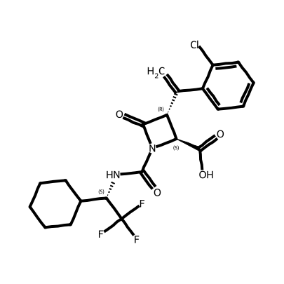 C=C(c1ccccc1Cl)[C@H]1C(=O)N(C(=O)N[C@@H](C2CCCCC2)C(F)(F)F)[C@@H]1C(=O)O